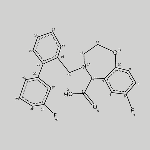 O=C(O)C1c2cc(F)ccc2OCCN1Cc1ccccc1-c1cccc(F)c1